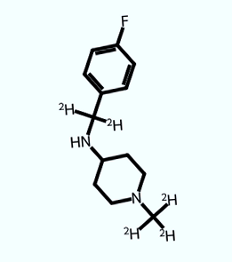 [2H]C([2H])(NC1CCN(C([2H])([2H])[2H])CC1)c1ccc(F)cc1